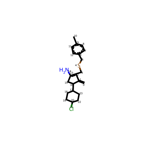 C=C1C(CSCc2ccc(C)cc2)=C(N)CC1C1CCC(Cl)CC1